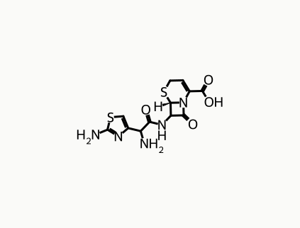 Nc1nc(C(N)C(=O)NC2C(=O)N3C(C(=O)O)=CCS[C@@H]23)cs1